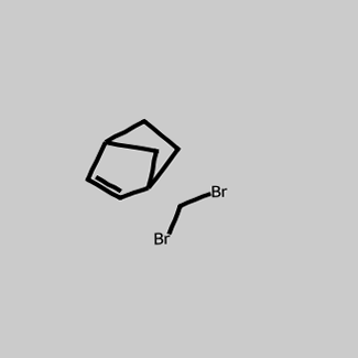 BrCBr.C1=CC2CCC1C2